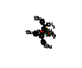 CC1=Cc2c(-c3ccc(C(C)(C)C)cc3)cc(-c3ccc(C(C)(C)C)cc3)cc2[CH]1[Zr]([CH3])([CH3])(=[SiH2])[C]1=C2SC(C)C(c3ccc(C(C)(C)C)cc3)=C2C=C1C(C)C.Cl.Cl